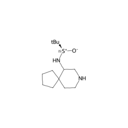 CC(C)(C)[S@@+]([O-])NC1CNCCC12CCCC2